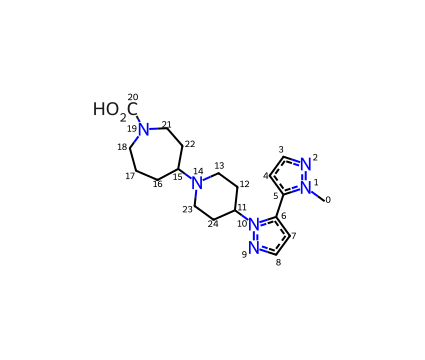 Cn1nccc1-c1ccnn1C1CCN(C2CCCN(C(=O)O)CC2)CC1